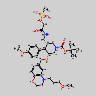 COCCCN1CCOc2ccc(CO[C@H]3CN(C(=O)OC(C)(C)C)C[C@@H](CNC(=O)COS(C)(=O)=O)[C@@H]3c3ccc(OC)cc3)cc21